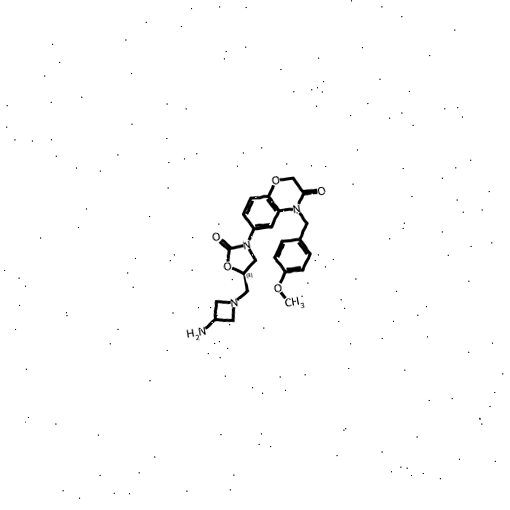 COc1ccc(CN2C(=O)COc3ccc(N4C[C@@H](CN5CC(N)C5)OC4=O)cc32)cc1